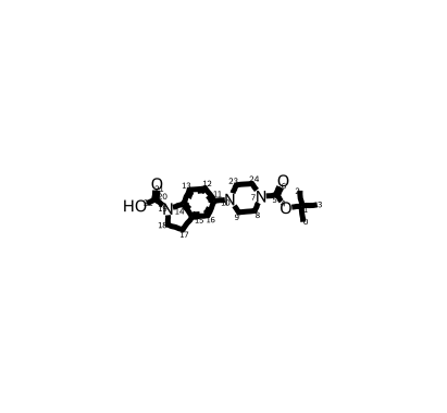 CC(C)(C)OC(=O)N1CCN(c2ccc3c(c2)CCN3C(=O)O)CC1